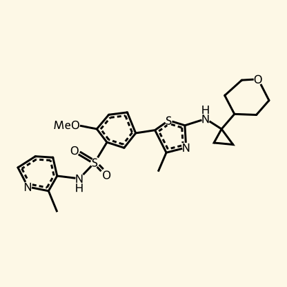 COc1ccc(-c2sc(NC3(C4CCOCC4)CC3)nc2C)cc1S(=O)(=O)Nc1cccnc1C